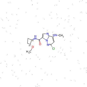 CNc1cc(Cl)nn2c(C(=O)N[C@@H]3CC[C@H]3OC)cnc12